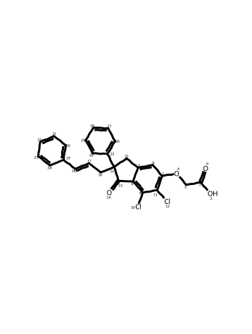 O=C(O)COc1cc2c(c(Cl)c1Cl)C(=O)C(C/C=C/c1ccccc1)(c1ccccc1)C2